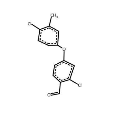 Cc1cc(Oc2ccc(C=O)c(Cl)c2)ccc1Cl